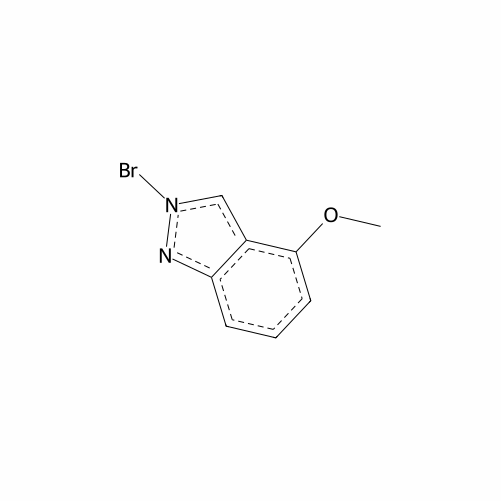 COc1cccc2nn(Br)cc12